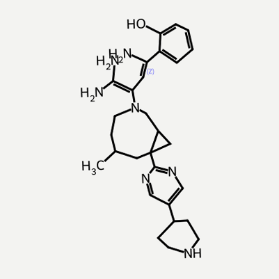 CC1CCN(C(/C=C(\N)c2ccccc2O)=C(N)N)CC2CC2(c2ncc(C3CCNCC3)cn2)C1